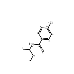 CCC(C)NC(=O)c1ccc(Cl)cc1